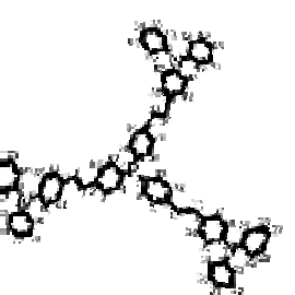 C(=C\c1ccc(P(c2ccc(/C=C/c3ccc(N(c4ccccc4)c4ccccc4)cc3)cc2)c2ccc(/C=C/c3ccc(N(c4ccccc4)c4ccccc4)cc3)cc2)cc1)/c1ccc(N(c2ccccc2)c2ccccc2)cc1